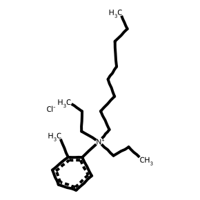 CCCCCCCC[N+](CCC)(CCC)c1ccccc1C.[Cl-]